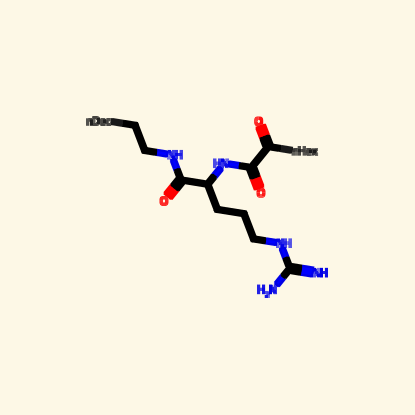 CCCCCCCCCCCCNC(=O)C(CCCNC(=N)N)NC(=O)C(=O)CCCCCC